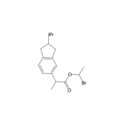 CC(Br)OC(=O)C(C)c1ccc2c(c1)CC(C(C)C)C2